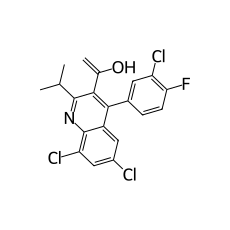 C=C(O)c1c(C(C)C)nc2c(Cl)cc(Cl)cc2c1-c1ccc(F)c(Cl)c1